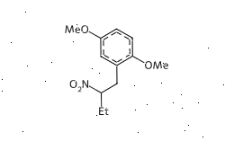 CCC(Cc1cc(OC)ccc1OC)[N+](=O)[O-]